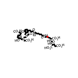 O=C(O)CCc1ccc(O)c(CN(CCN(CC(=O)O)Cc2cc(CCC(=O)NCCCCCC(=O)NCCCC[C@H](NC(=O)N[C@@H](CCC(=O)O)C(=O)O)C(=O)O)ccc2O)CC(=O)O)n1